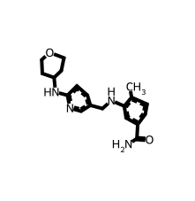 Cc1ccc(C(N)=O)cc1NCc1ccc(NC2CCOCC2)nc1